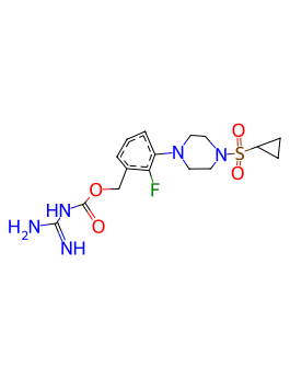 N=C(N)NC(=O)OCc1cccc(N2CCN(S(=O)(=O)C3CC3)CC2)c1F